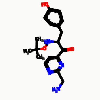 CC(C)(C)ONC(Cc1ccc(O)cc1)C(=O)c1ccnc(CN)n1